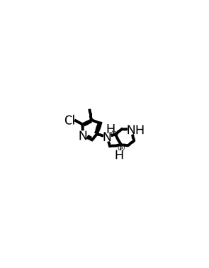 Cc1cc(N2C[C@@H]3CCNC[C@@H]32)cnc1Cl